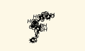 O=c1ccn(C2OC(COP(=O)(O)OP(=O)(O)OC3OC(CSSc4ccccn4)C(O)C(O)C3O)C(O)C2O)c(=O)[nH]1